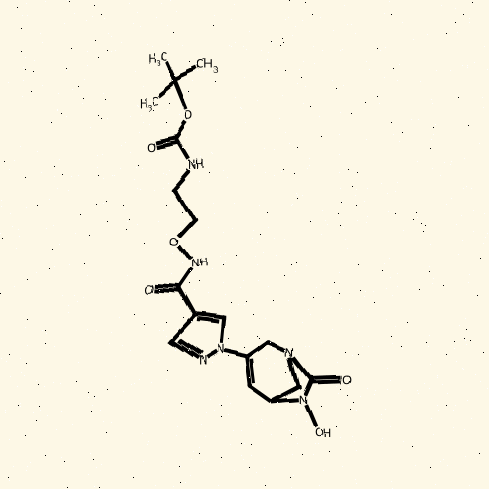 CC(C)(C)OC(=O)NCCONC(=O)c1cnn(C2=CC3CN(C2)C(=O)N3O)c1